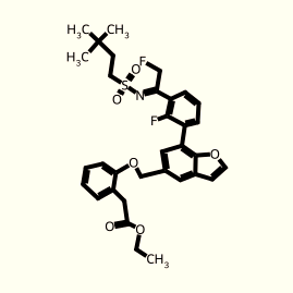 CCOC(=O)Cc1ccccc1OCc1cc(-c2cccc(C(CF)=NS(=O)(=O)CCC(C)(C)C)c2F)c2occc2c1